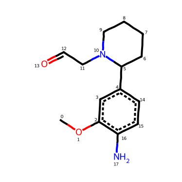 COc1cc(C2CCCCN2CC=O)ccc1N